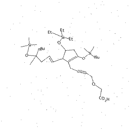 CCCCC(C)(C/C=C/C1C(CC#CCOCC(=O)O)=C(O[Si](C)(C)C(C)(C)C)CC1O[Si](CC)(CC)CC)O[Si](C)(C)C